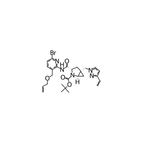 C=CCOCc1ccc(Br)nc1NC(=O)[C@@H]1C[C@@]2(Cn3ccc(C=C)n3)C[C@H]2N1C(=O)OC(C)(C)C